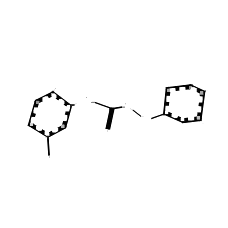 O.O.O=C(N[B]c1ccccc1)Nc1cccc(Cl)c1